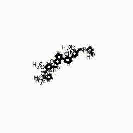 COc1cc(O[C@H]2CCc3c(-c4cccc(-c5ccc(CNC[C@@H]6CCC(=O)N6)c(OC)n5)c4Cl)cccc32)c(C(F)(F)F)cc1CN1CCC[C@@]1(C)C(=O)O